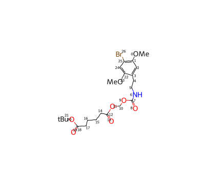 COc1cc(CCNC(=O)OCOC(=O)CCCCC(=O)OC(C)(C)C)c(OC)cc1Br